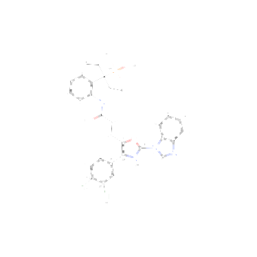 CCC(CC)(c1ccccc1NC(=O)CCc1oc(-n2cnc3ccccc32)nc1-c1ccc(Cl)c(Cl)c1)P(=O)(O)O